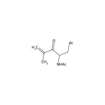 C=C(C)C(=O)C(CC(C)C)NC(C)=O